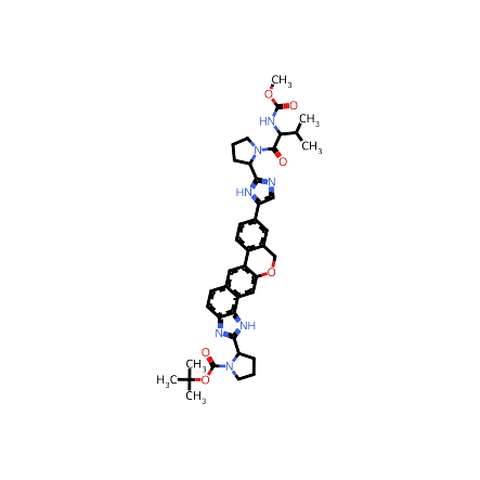 COC(=O)NC(C(=O)N1CCCC1c1ncc(-c2ccc3c(c2)COc2cc4c(ccc5nc(C6CCCN6C(=O)OC(C)(C)C)[nH]c54)cc2-3)[nH]1)C(C)C